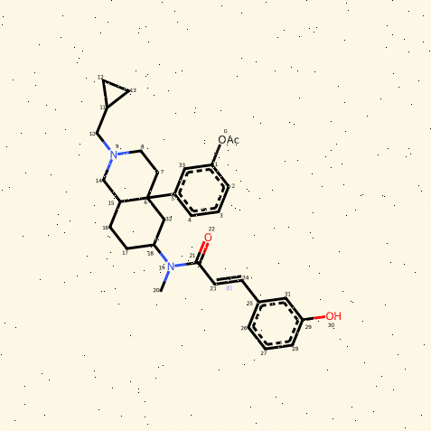 CC(=O)Oc1cccc(C23CCN(CC4CC4)CC2CCC(N(C)C(=O)/C=C/c2cccc(O)c2)C3)c1